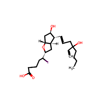 C=CC(O)(CC=C[C@@H]1[C@H]2C[C@H](C(I)CCCC(=O)O)O[C@@H]2C[C@H]1O)CCCC